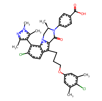 Cc1cc(OCCCc2c3n(c4c(-c5c(C)nn(C)c5C)c(Cl)ccc24)C[C@@H](C)N(c2ccc(C(=O)O)cc2)C3=O)cc(C)c1Cl